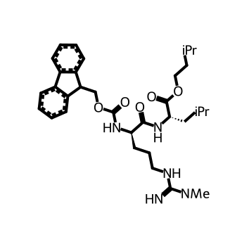 CNC(=N)NCCC[C@@H](NC(=O)OCC1c2ccccc2-c2ccccc21)C(=O)N[C@@H](CC(C)C)C(=O)OCCC(C)C